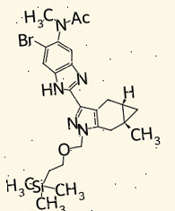 CC(=O)N(C)c1cc2nc(-c3nn(COCC[Si](C)(C)C)c4c3C[C@@H]3C[C@]3(C)C4)[nH]c2cc1Br